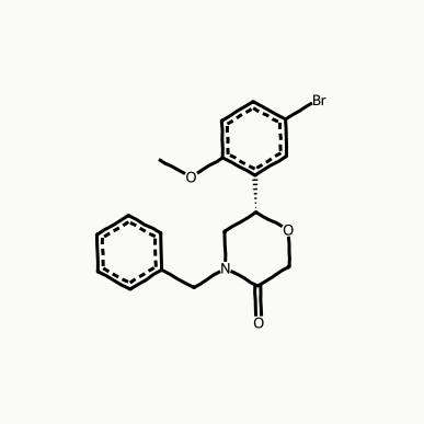 COc1ccc(Br)cc1[C@H]1CN(Cc2ccccc2)C(=O)CO1